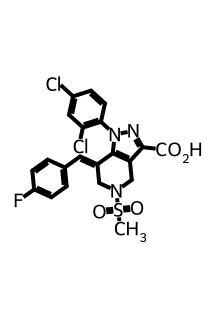 CS(=O)(=O)N1CC(=Cc2ccc(F)cc2)c2c(c(C(=O)O)nn2-c2ccc(Cl)cc2Cl)C1